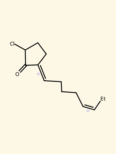 CC/C=C\CCC/C=C1\CCC(Cl)C1=O